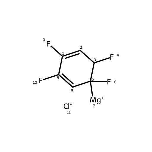 FC1=CC(F)[C](F)([Mg+])C=C1F.[Cl-]